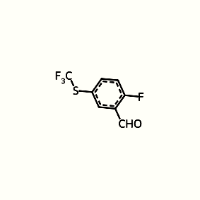 O=Cc1cc(SC(F)(F)F)ccc1F